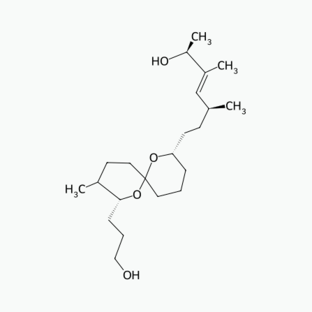 C/C(=C\[C@@H](C)CC[C@@H]1CCCC2(CCC(C)[C@@H](CCCO)O2)O1)[C@H](C)O